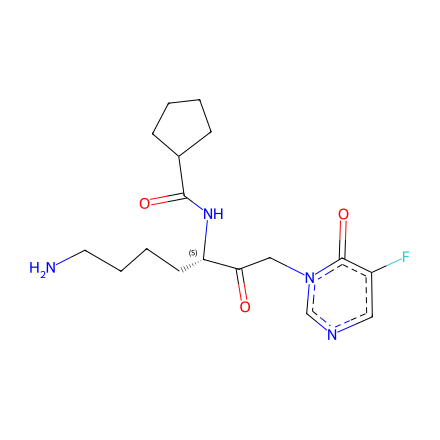 NCCCC[C@H](NC(=O)C1CCCC1)C(=O)Cn1cncc(F)c1=O